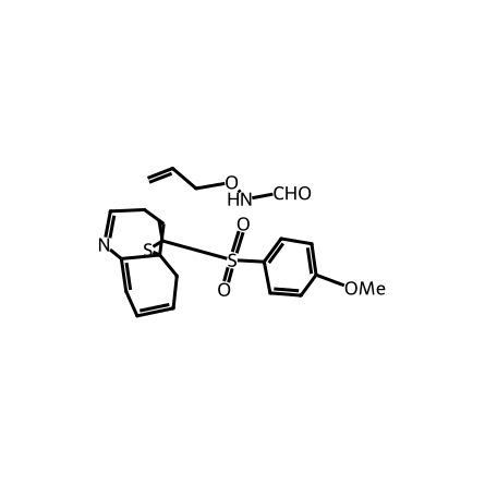 C=CCONC=O.COc1ccc(S(=O)(=O)C2CC3CC=NC4=CC=CCC43S2)cc1